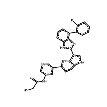 CC(C)CC(=O)Nc1cncc(-c2ccc3[nH]nc(-c4nc5c(-c6ccccc6F)cccc5[nH]4)c3c2)c1